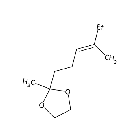 [CH2]CC(C)=CCCC1(C)OCCO1